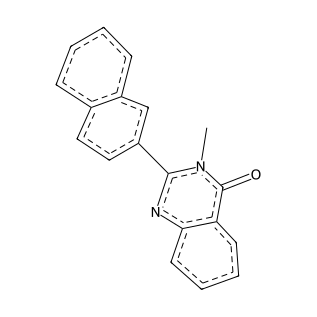 Cn1c(-c2ccc3ccccc3c2)nc2ccccc2c1=O